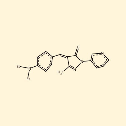 CCN(CC)c1ccc(C=C2C(=O)N(c3cccnc3)N=C2C)cc1